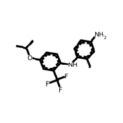 Cc1cc(N)ccc1Nc1ccc(OC(C)C)cc1C(F)(F)F